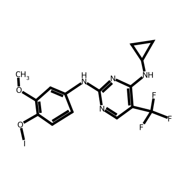 COc1cc(Nc2ncc(C(F)(F)F)c(NC3CC3)n2)ccc1OI